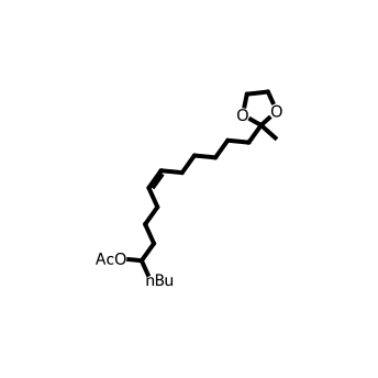 CCCCC(CCC/C=C\CCCCCC1(C)OCCO1)OC(C)=O